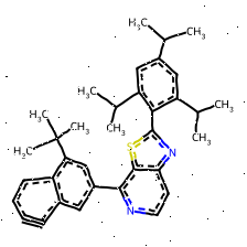 CC(C)c1cc(C(C)C)c(-c2nc3ccnc(-c4cc(C(C)(C)C)c5ccc#cc5c4)c3s2)c(C(C)C)c1